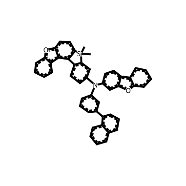 C[Si]1(C)c2cc(N(c3cccc(-c4cccc5ccccc45)c3)c3ccc4c(c3)oc3ccccc34)ccc2-c2c1ccc1oc3ccccc3c21